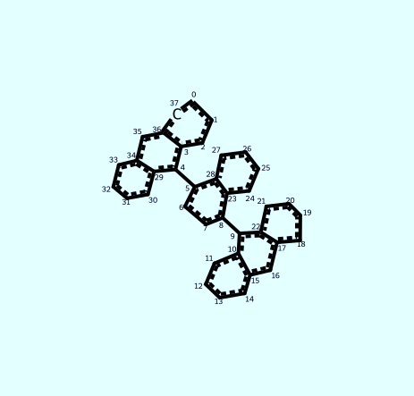 c1ccc2c(-c3ccc(-c4c5ccccc5cc5ccccc45)c4ccccc34)c3ccccc3cc2c1